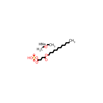 CCCCCCCCCCCCOC(=O)CCC(=O)OS(=O)(=O)O.CCOCC.[NaH]